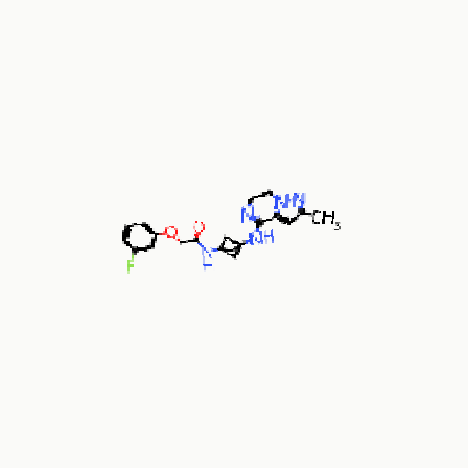 Cc1cc2n(n1)CCN=C2NC12CC(NC(=O)COc3cccc(F)c3)(C1)C2